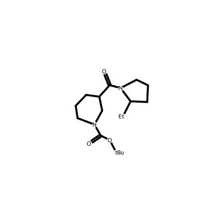 CCC1CCCN1C(=O)C1CCCN(C(=O)OC(C)(C)C)C1